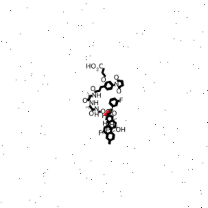 C=C1C=C[C@@]2(C)C(=C1)[C@@H](F)C[C@H]1[C@@H]3C[C@H]4O[C@@H](c5cccc(F)c5)O[C@@]4(C(=O)COCNC(=O)[C@H](C)NC(=O)[C@H](C)NC(=O)CCc4ccc(N5C(=O)C=CC5=O)cc4OCCCC(=O)O)[C@@]3(C)C[C@H](O)[C@@]12F